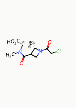 CC[C@H](C)[C@@H](C(=O)O)N(C)C(=O)C1CN(C(=O)CCl)C1